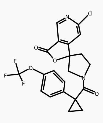 O=C1OC2(CCN(C(=O)C3(c4ccc(OC(F)(F)F)cc4)CC3)C2)c2cc(Cl)ncc21